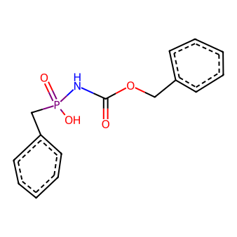 O=C(NP(=O)(O)Cc1ccccc1)OCc1ccccc1